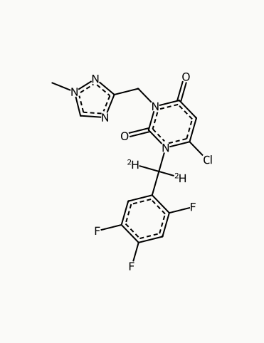 [2H]C([2H])(c1cc(F)c(F)cc1F)n1c(Cl)cc(=O)n(Cc2ncn(C)n2)c1=O